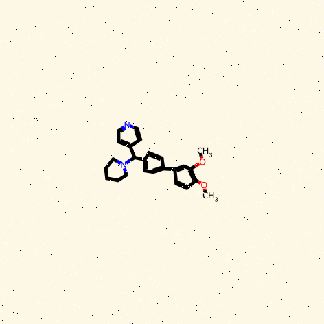 COc1ccc(-c2ccc(C(c3ccncc3)N3CCCCC3)cc2)cc1OC